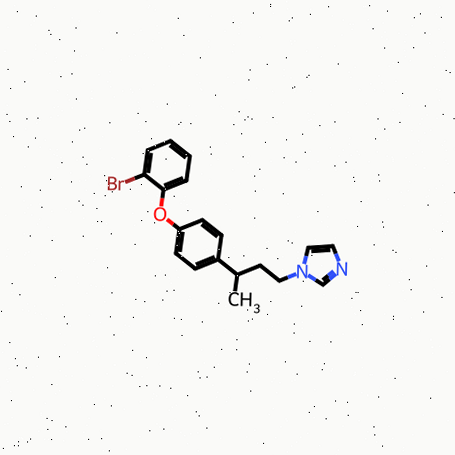 CC(CCn1ccnc1)c1ccc(Oc2ccccc2Br)cc1